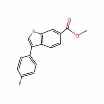 COC(=O)c1ccc2c(-c3ccc(F)cc3)csc2c1